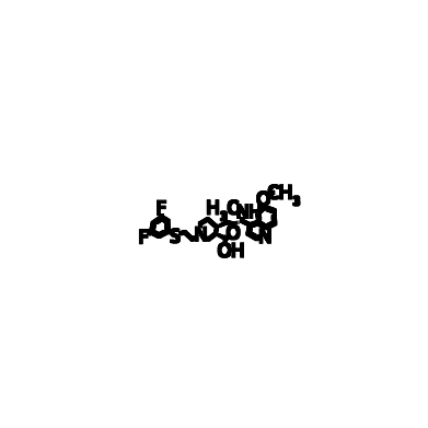 CN[C@@H](CC[C@@H]1CCN(CCSc2cc(F)cc(F)c2)C[C@@H]1C(=O)O)c1ccnc2ccc(OC)cc12